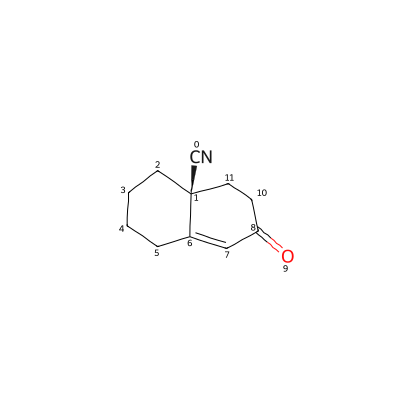 N#C[C@]12CCCCC1=CC(=O)CC2